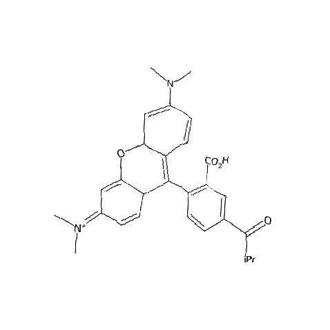 CC(C)C(=O)c1ccc(C2=C3C=CC(N(C)C)=CC3OC3=CC(=[N+](C)C)C=CC32)c(C(=O)O)c1